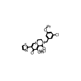 CC(C)Oc1cc(Cl)cc(CN2CCn3cc(-c4nccs4)c(=O)c(O)c3C2=O)c1.Cl